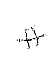 FC(F)(F)[Si](F)(F)F